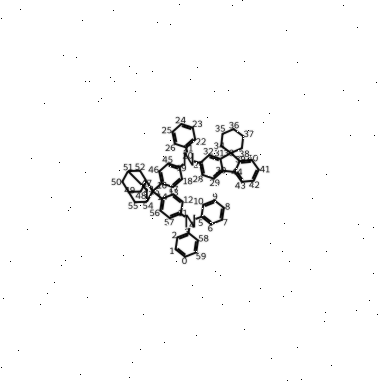 c1ccc(N(c2ccccc2)c2ccc(C3(c4ccc(N(c5ccccc5)c5ccc6c(c5)C5(CCCCC5)c5ccccc5-6)cc4)C4CC5CC(C4)CC3C5)cc2)cc1